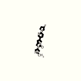 Cn1cc(N2Cc3cc(-c4ccc(N5CCC(F)C5)nc4)cn3C2=O)cn1